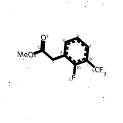 COC(=O)Cc1cccc(C(F)(F)F)c1F